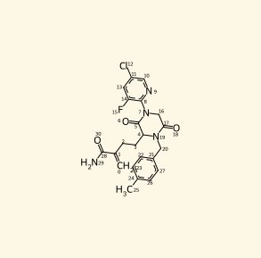 C=C(CCC1C(=O)N(c2ncc(Cl)cc2F)CC(=O)N1Cc1ccc(C)cc1)C(N)=O